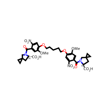 COc1cc(C(=O)N2CC3(CC3)C[C@H]2C(=O)O)c([N+](=O)[O-])cc1OCCCCCOc1cc([N+](=O)[O-])c(C(=O)N2CC3(CC3)C[C@H]2C(=O)O)cc1OC